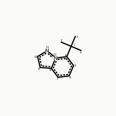 CC(C)(C)c1cccc2ccnn12